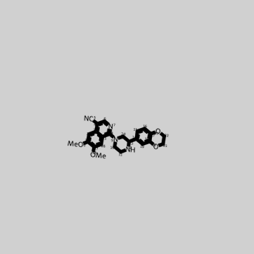 COc1cc2c(C#N)cnc(N3CCNC(c4ccc5c(c4)OCCO5)C3)c2cc1OC